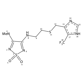 CNC1=NS(=O)(=O)N=C1NCCSCc1nc[nH]c1C(F)(F)F